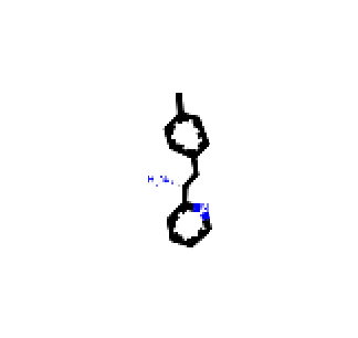 Cc1ccc(C[C@@H](N)c2ccccn2)cc1